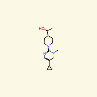 CC(O)C1CCN(C2=NC=C(C3CC3)CN2C)CC1